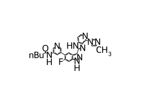 CCCCC(=O)Nc1cncc(-c2cc3c(-c4nc5c(-n6cnc(C)c6)nccc5[nH]4)n[nH]c3cc2F)c1